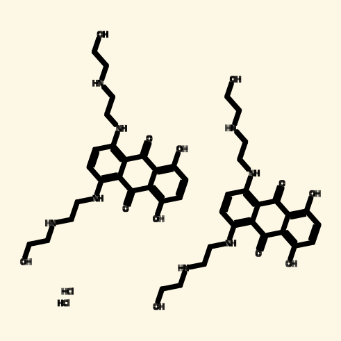 Cl.Cl.O=C1c2c(O)ccc(O)c2C(=O)c2c(NCCNCCO)ccc(NCCNCCO)c21.O=C1c2c(O)ccc(O)c2C(=O)c2c(NCCNCCO)ccc(NCCNCCO)c21